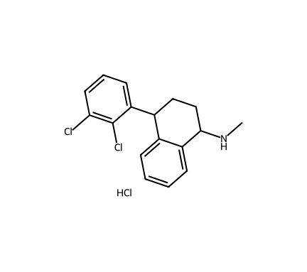 CNC1CCC(c2cccc(Cl)c2Cl)c2ccccc21.Cl